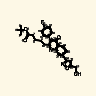 CC(C)(C)OC(=O)CCCCc1nc2cc(-c3cc(CO)on3)ccc2c(=O)n1-c1ccc(F)cc1